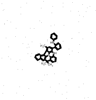 Cc1cc(-c2ccccc2Nc2ccccc2)c2c3c1c1c4ccccc4cc4c1n3-c1c(cccc1C4(C)C)B2